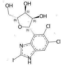 OC[C@H]1O[C@@H](c2c(Cl)c(Cl)cc3[nH]c(I)nc23)[C@H](O)[C@@H]1O